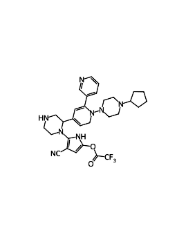 N#Cc1cc(OC(=O)C(F)(F)F)[nH]c1N1CCNCC1C1=CCN(N2CCN(C3CCCC3)CC2)C(c2cccnc2)=C1